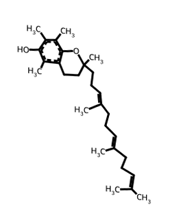 CC(C)=CCC/C(C)=C/CC/C(C)=C/CCC1(C)CCc2c(C)c(O)c(C)c(C)c2O1